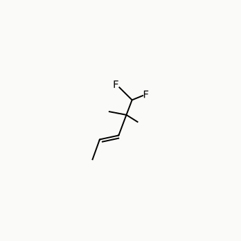 C/C=C/C(C)(C)C(F)F